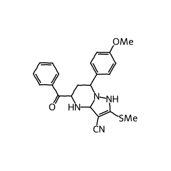 COc1ccc(C2CC(C(=O)c3ccccc3)NC3C(C#N)=C(SC)NN32)cc1